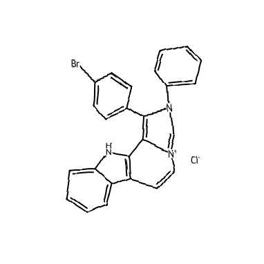 Brc1ccc(-c2c3c4[nH]c5ccccc5c4cc[n+]3cn2-c2ccccc2)cc1.[Cl-]